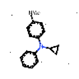 CNc1ccc(N(c2ccccc2)C2CC2)cc1